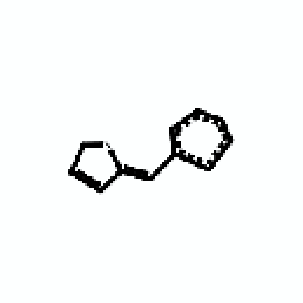 C1=CC(=Cc2ccccc2)SC1